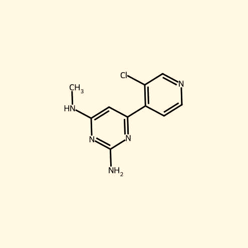 CNc1cc(-c2ccncc2Cl)nc(N)n1